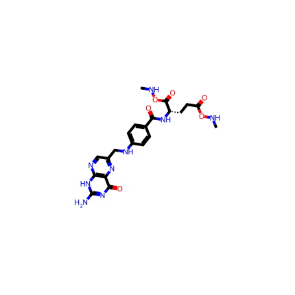 CNOC(=O)CC[C@H](NC(=O)c1ccc(NCc2cnc3[nH]c(N)nc(=O)c3n2)cc1)C(=O)ONC